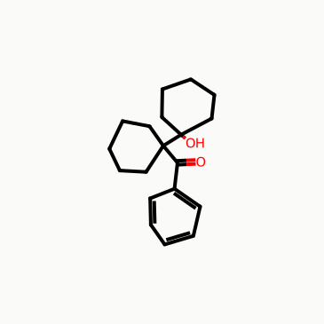 O=C(c1ccccc1)C1(C2(O)CCCCC2)CCCCC1